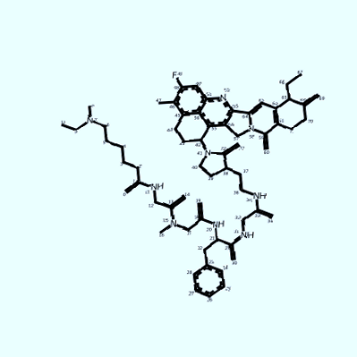 C=C(CCCCCN(C)CC)NCC(=C)N(C)CC(=C)NC(Cc1ccccc1)C(=C)NCC(=C)NCCC1CCN(C2CCc3c(C)c(F)cc4nc5c(c2c34)CN2C(=C)C3=C(C=C52)C(CC)C(=C)CC3)C1=C